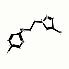 O=[N+]([O-])c1cnn(CCNc2ccc(F)cn2)c1